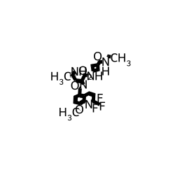 CCNC(=O)C1CC(NC(=O)c2nc(-c3ccc(OC)c4nc(C(F)(F)F)ccc34)oc2[C@H](C)N)C1